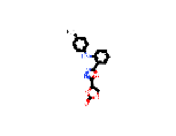 O=C1OCC(c2nnc(-c3ccccc3Nc3ccc(C(F)(F)F)cc3)o2)O1